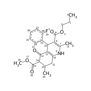 CCCOC(=O)C1=C(C)NC2=C(C(=O)C(C(=O)OC)C(C)C2)C1c1ccccc1F